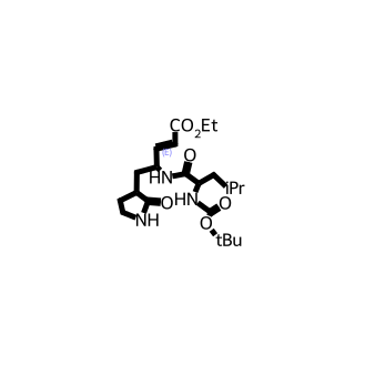 CCOC(=O)/C=C/C(CC1CCNC1=O)NC(=O)C(CC(C)C)NC(=O)OC(C)(C)C